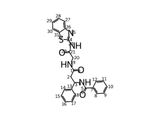 O=C(CC(NC(=O)c1ccccc1)c1ccccc1)NCC(=O)Nc1nc2ccccc2s1